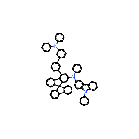 c1ccc(N(c2ccccc2)c2cccc(-c3cccc(-c4cc(N(c5ccccc5)c5ccc6c(c5)c5ccccc5n6-c5ccccc5)cc5c4-c4ccccc4C54c5ccccc5-c5ccccc54)c3)c2)cc1